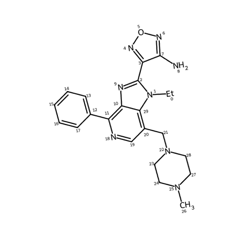 CCn1c(-c2nonc2N)nc2c(-c3ccccc3)ncc(CN3CCN(C)CC3)c21